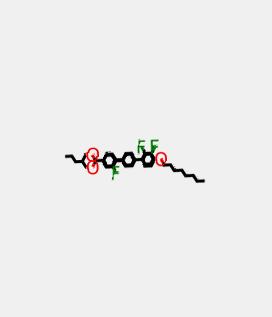 CCCCCCCCOc1ccc(-c2ccc(-c3ccc(C4OCC(CCC)CO4)cc3F)cc2)c(F)c1F